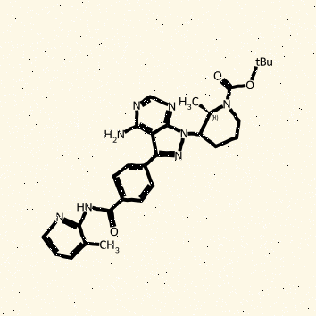 Cc1cccnc1NC(=O)c1ccc(-c2nn(C3CCCN(C(=O)OC(C)(C)C)[C@@H]3C)c3ncnc(N)c23)cc1